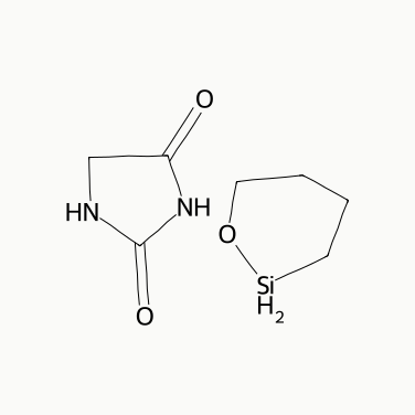 C1CC[SiH2]OC1.O=C1CNC(=O)N1